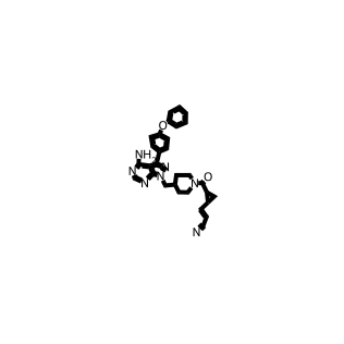 N#CC=CC1CC1C(=O)N1CCC(Cn2nc(-c3ccc(Oc4ccccc4)cc3)c3c(N)ncnc32)CC1